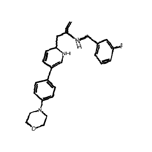 C=C(CC1C=CC(c2ccc(N3CCOCC3)cc2)=CN1)NCc1cccc(F)c1